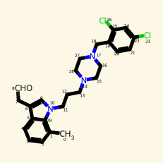 Cc1cccc2c(CC=O)cn(CCCN3CCN(Cc4ccc(Cl)cc4Cl)CC3)c12